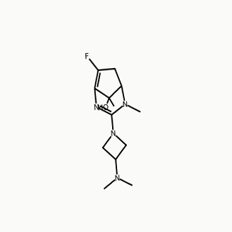 CN(C)C1CN(C2=NC3=C(F)CC(N2C)C3(C)O)C1